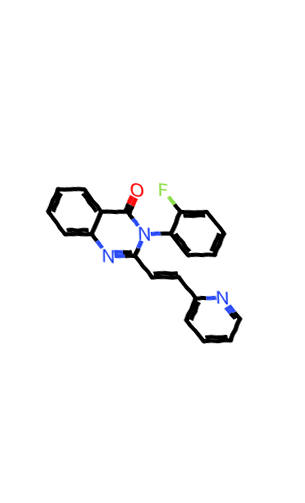 O=c1c2ccccc2nc(/C=C/c2ccccn2)n1-c1ccccc1F